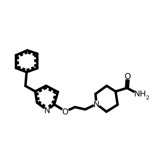 NC(=O)C1CCN(CCOc2ccc(Cc3ccccc3)cn2)CC1